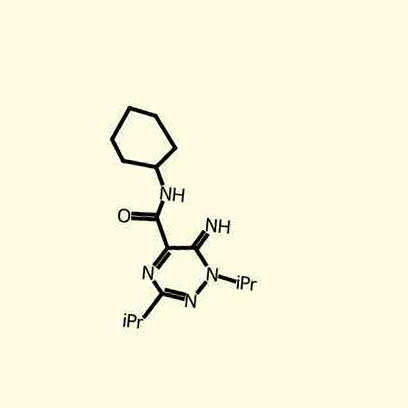 CC(C)c1nc(C(=O)NC2CCCCC2)c(=N)n(C(C)C)n1